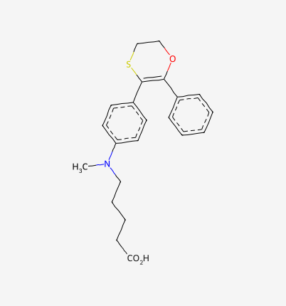 CN(CCCCC(=O)O)c1ccc(C2=C(c3ccccc3)OCCS2)cc1